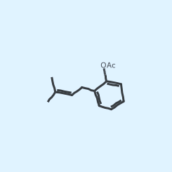 CC(=O)Oc1ccccc1CC=C(C)C